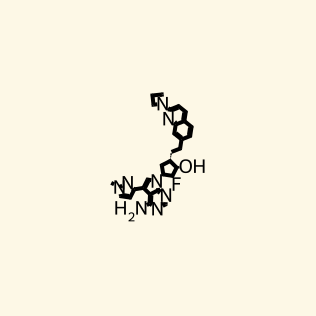 Cn1ccc(-c2cn([C@@H]3C[C@H](CCc4ccc5ccc(N6CCC6)nc5c4)[C@@H](O)[C@@H]3F)c3ncnc(N)c23)n1